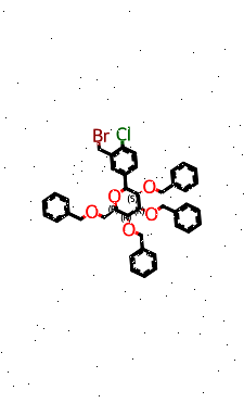 Clc1ccc(C2O[C@H](COCc3ccccc3)[C@@H](OCc3ccccc3)[C@H](OCc3ccccc3)[C@H]2OCc2ccccc2)cc1CBr